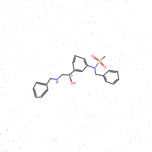 CS(=O)(=O)N(Cc1ccccc1)c1cccc([C@@H](O)CNCc2ccccc2)c1